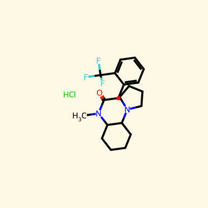 CN(C(=O)Cc1ccccc1C(F)(F)F)C1CCCCC1N1CCCC1.Cl